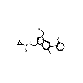 CC(C)(C)Cn1cc(CN[S+]([O-])C2CC2)c2cc(F)c(-c3ccncc3Cl)cc21